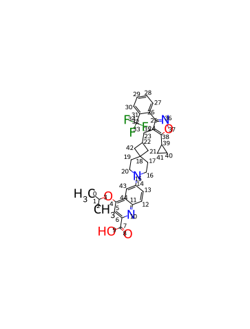 CC(C)Oc1cc(C(=O)O)nc2ccc(N3CCC4(CC3)CC(Cc3c(-c5ccccc5C(F)(F)F)noc3C3CC3)C4)cc12